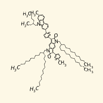 CCCCCCCCCCCCC(CCCCCCCCCC)CN1C(=O)C(c2ccc(C)s2)=c2cc3c(cc21)=C(c1ccc(-c2ccc4c5ccc(C)cc5n(CC(CC)CCCC)c4c2)s1)C(=O)N3CC(CCCCCCCCCC)CCCCCCCCCCCC